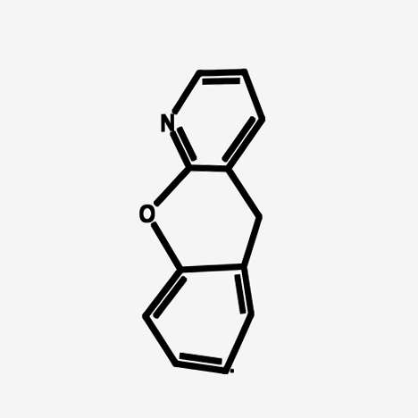 [c]1ccc2c(c1)Cc1cccnc1O2